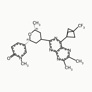 Cc1nc2nc(C3C[C@@H](C)O[C@@H](c4ccc(=O)n(C)c4)C3)nc(C34CC(C(F)(F)F)(C3)C4)c2nc1C